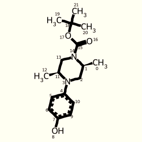 C[C@H]1CN(c2ccc(O)cc2)[C@@H](C)CN1C(=O)OC(C)(C)C